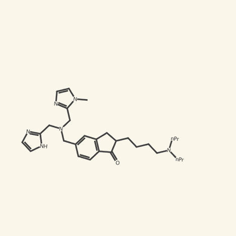 CCCN(CCC)CCCCC1Cc2cc(CN(Cc3ncc[nH]3)Cc3nccn3C)ccc2C1=O